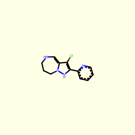 ClC1=C(c2ccccn2)NN2CCCNC=C12